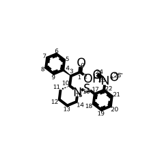 O=C(O)[C@H](c1ccccc1)[C@H]1CCCCN1Sc1ccccc1[N+](=O)[O-]